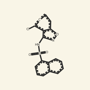 O=S(=O)(Nc1noc2cccc(Cl)c12)c1cccc2ccccc12